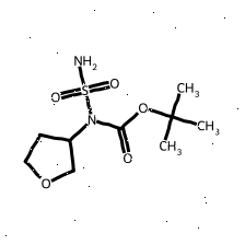 CC(C)(C)OC(=O)N(C1CCOC1)S(N)(=O)=O